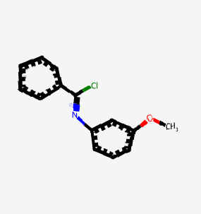 COc1cccc(/N=C(\Cl)c2ccccc2)c1